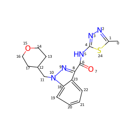 Cc1nnc(NC(=O)c2nn(CC3CCOCC3)c3ccccc23)s1